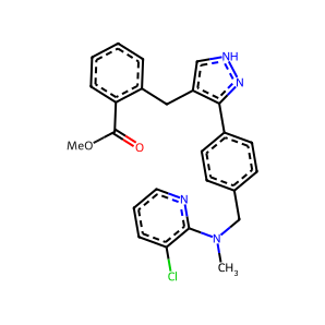 COC(=O)c1ccccc1Cc1c[nH]nc1-c1ccc(CN(C)c2ncccc2Cl)cc1